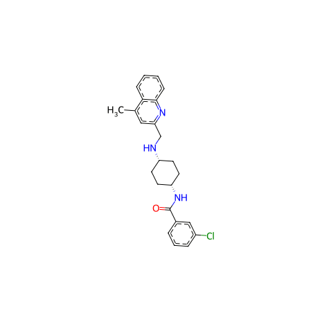 Cc1cc(CN[C@H]2CC[C@@H](NC(=O)c3cccc(Cl)c3)CC2)nc2ccccc12